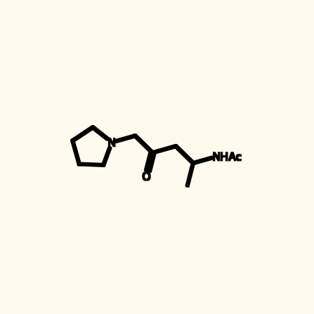 CC(=O)NC(C)CC(=O)CN1CCCC1